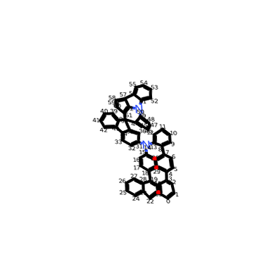 c1ccc(-c2ccc(-c3ccccc3N(c3ccc(-c4cccc5ccccc45)cc3)c3ccc4c(c3)C3(c5ccccc5-4)c4ccccc4-n4c5ccccc5c5cccc3c54)cc2)cc1